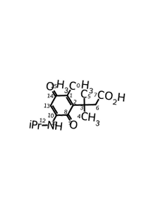 CC1=C(C(C)(C)CC(=O)O)C(=O)C(NC(C)C)=CC1=O